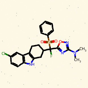 CN(C)c1noc(C(F)(C2CCc3c([nH]c4ccc(Cl)cc34)C2)S(=O)(=O)c2ccccc2)n1